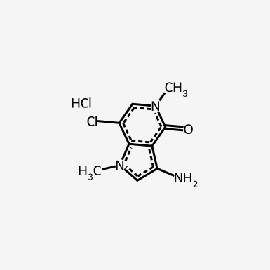 Cl.Cn1cc(Cl)c2c(c(N)cn2C)c1=O